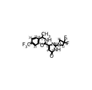 CC(NC(=O)c1cc(=O)[nH]c(N2CC(F)(F)C2)n1)c1ccc(C(F)(F)F)cc1